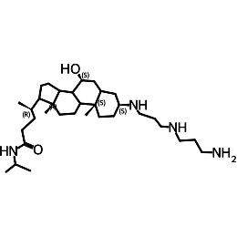 CC(C)NC(=O)CC[C@@H](C)C1CCC2C3C(CC[C@@]21C)[C@@]1(C)CC[C@H](NCCCNCCCN)CC1C[C@@H]3O